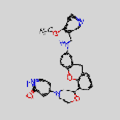 COc1ccncc1CNc1ccc2c(c1)Cc1cccc(C3CN(c4cc[nH]c(=O)c4)CCO3)c1O2